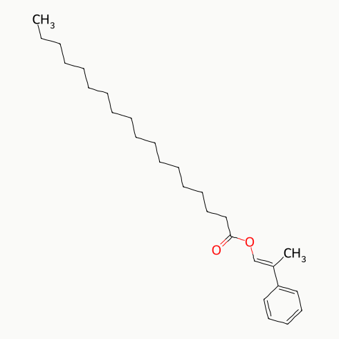 CCCCCCCCCCCCCCCCCC(=O)OC=C(C)c1ccccc1